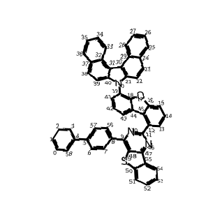 C1=CCCC(c2ccc(-c3nc(-c4cccc5oc6c(-n7c8ccc9ccccc9c8c8c9ccccc9ccc87)cccc6c45)nc4c3sc3ccccc34)cc2)=C1